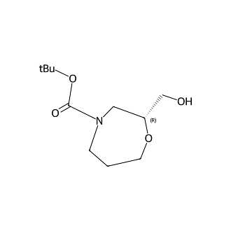 CC(C)(C)OC(=O)N1CCCO[C@@H](CO)C1